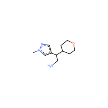 Cn1cc(C(CN)C2CCOCC2)cn1